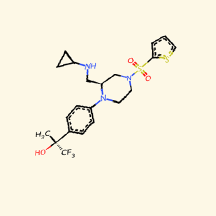 C[C@](O)(c1ccc(N2CCN(S(=O)(=O)c3cccs3)C[C@@H]2CNC2CC2)cc1)C(F)(F)F